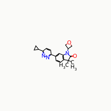 CC1(C)C(=O)N(C2COC2)c2cc(-c3ccc(C4CC4)nn3)ccc21